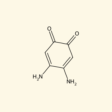 NC1=CC(=O)C(=O)C=C1N